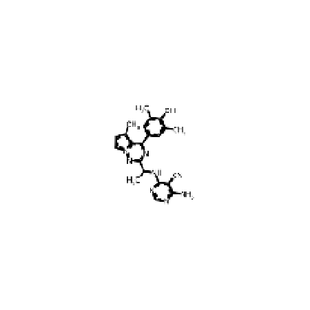 Cc1cc(-c2nc(C(C)Nc3ncnc(N)c3C#N)nn3ccc(C)c23)cc(C)c1O